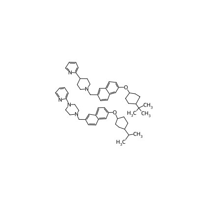 CC(C)(C)C1CCC(Oc2ccc3cc(CN4CCC(c5ccccn5)CC4)ccc3c2)CC1.CC(C)C1CCC(Oc2ccc3cc(CN4CCN(c5ccccn5)CC4)ccc3c2)CC1